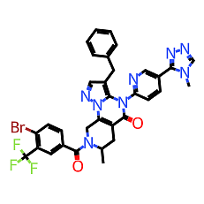 CC1Cc2c(n3ncc(Cc4ccccc4)c3n(-c3ccc(-c4nncn4C)cn3)c2=O)CN1C(=O)c1ccc(Br)c(C(F)(F)F)c1